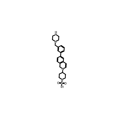 CCS(=O)(=O)N1CCC(N2C=Cc3cc(-c4cccc(CN5CCNCC5)c4)ccc3C2)CC1